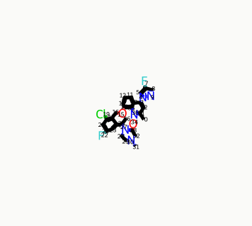 Cc1cc(-n2cc(F)cn2)c2cccc(OCc3c(Cl)cc(F)cc3C(C)N3CCN(C)CC3=O)c2n1